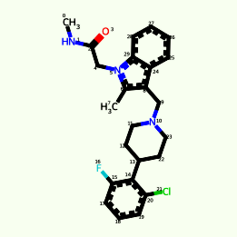 CNC(=O)Cn1c(C)c(CN2CCC(c3c(F)cccc3Cl)CC2)c2ccccc21